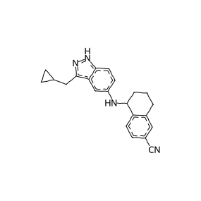 N#Cc1ccc2c(c1)CCCC2Nc1ccc2[nH]nc(CC3CC3)c2c1